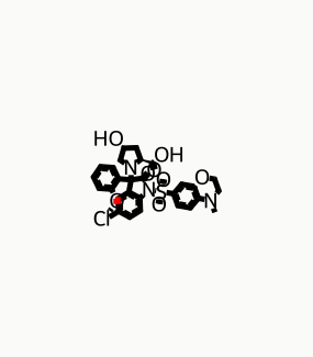 COc1ccccc1C1(N2C[C@H](O)C[C@H]2C(=O)O)C(=O)N(S(=O)(=O)c2ccc3c(c2)OCCN3C)c2ccc(Cl)cc21